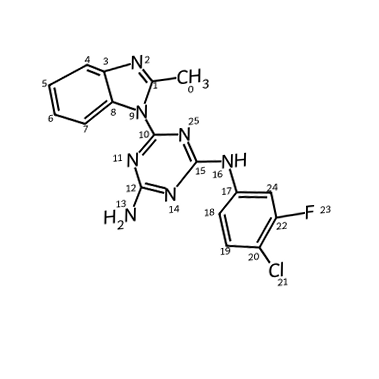 Cc1nc2ccccc2n1-c1nc(N)nc(Nc2ccc(Cl)c(F)c2)n1